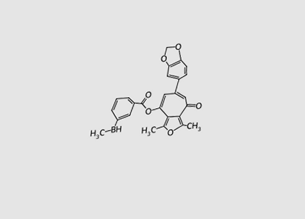 CBc1cccc(C(=O)Oc2cc(-c3ccc4c(c3)OCO4)cc(=O)c3c(C)oc(C)c23)c1